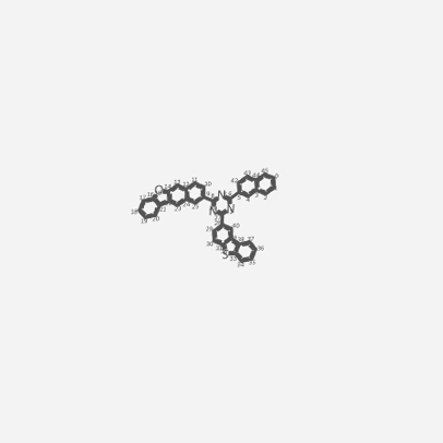 c1ccc2cc(-c3nc(-c4ccc5cc6oc7ccccc7c6cc5c4)nc(-c4ccc5sc6ccccc6c5c4)n3)ccc2c1